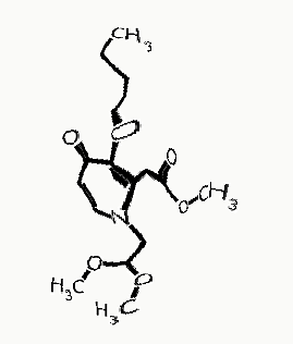 CCCCOc1c(C(=O)OC)n(CC(OC)OC)ccc1=O